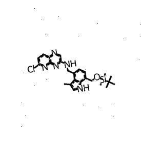 Cc1c[nH]c2c(CO[Si](C)(C)C(C)(C)C)ccc(CNc3cnc4ccc(Cl)nc4n3)c12